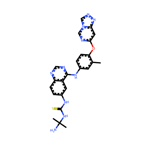 Cc1cc(Nc2ncnc3ccc(NC(=S)NC(C)(C)N)cc23)ccc1Oc1cc2nncn2cn1